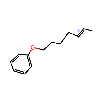 C/C=C/CCCCOc1ccccc1